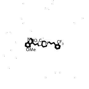 COc1ccc2nccc(CCC[C@@H]3CCN(CCCc4ccccc4C(F)(F)F)C[C@@H]3C(=O)O)c2c1